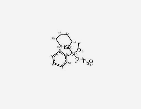 CO[Si](OC)(c1ccccc1)[SiH]1CCCCC1.O